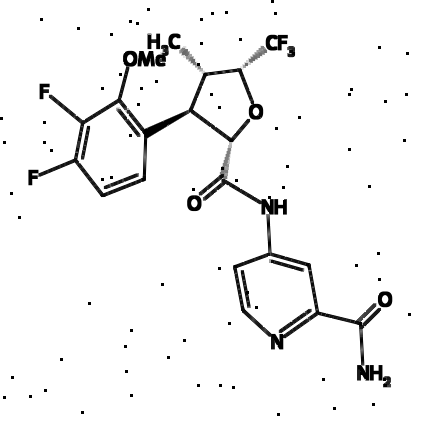 COc1c([C@H]2[C@H](C)[C@H](C(F)(F)F)O[C@@H]2C(=O)Nc2ccnc(C(N)=O)c2)ccc(F)c1F